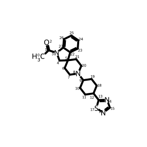 CC(=O)N1CC2(CCN(C3CCC(c4ncns4)CC3)CC2)c2ccccc21